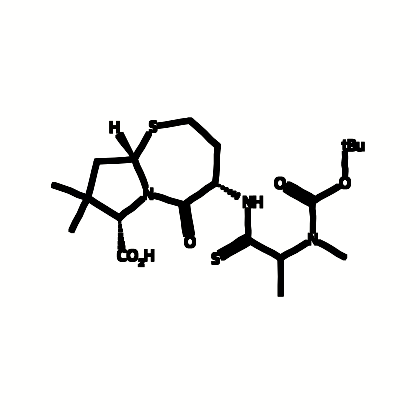 CC(C(=S)N[C@H]1CCS[C@H]2CC(C)(C)[C@@H](C(=O)O)N2C1=O)N(C)C(=O)OC(C)(C)C